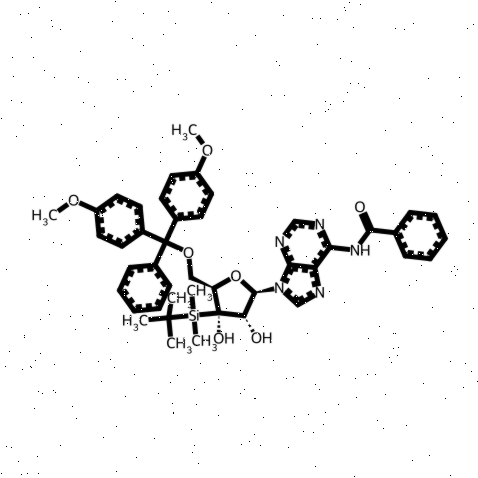 COc1ccc(C(OC[C@H]2O[C@@H](n3cnc4c(NC(=O)c5ccccc5)ncnc43)[C@H](O)[C@@]2(O)[Si](C)(C)C(C)(C)C)(c2ccccc2)c2ccc(OC)cc2)cc1